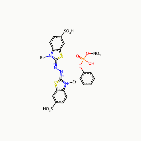 CCn1/c(=N/N=c2\sc3cc(S(=O)(=O)O)ccc3n2CC)sc2cc(S(=O)(=O)O)ccc21.O=[N+]([O-])OP(=O)(O)Oc1ccccc1